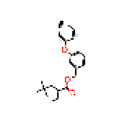 C#C/C=C(\C=C/C)Oc1cccc(COC(=O)C(CC)CC(C)(C)C)c1